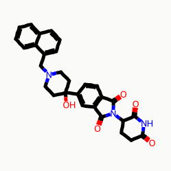 O=C1CCC(N2C(=O)c3ccc(C4(O)CCN(Cc5cccc6ccccc56)CC4)cc3C2=O)C(=O)N1